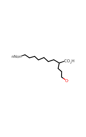 CCCCCCCCCCCCCCCCC(CCC[O])C(=O)O